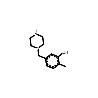 Cc1ccc(CN2CCNCC2)cc1O